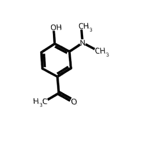 CC(=O)c1ccc(O)c(N(C)C)c1